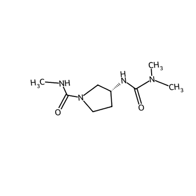 CNC(=O)N1CC[C@@H](NC(=O)N(C)C)C1